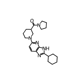 O=C(C1CCCN(c2ccc3nc(C4CCCCC4)[nH]c3n2)C1)N1CCCC1